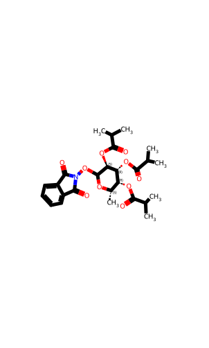 CC(C)C(=O)O[C@@H]1[C@H](OC(=O)C(C)C)[C@H](C)OC(ON2C(=O)c3ccccc3C2=O)[C@H]1OC(=O)C(C)C